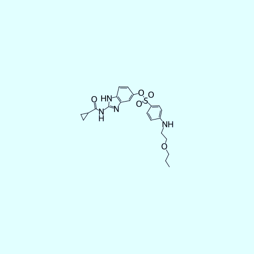 CCCOCCNc1ccc(S(=O)(=O)Oc2ccc3[nH]c(NC(=O)C4CC4)nc3c2)cc1